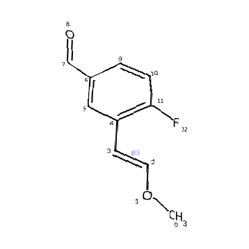 CO/C=C/c1cc(C=O)ccc1F